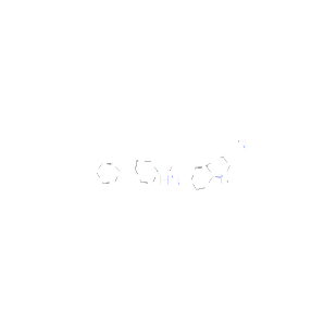 CN1CCc2nc3ccc(NC(=O)c4ccc(-c5ccc(Cl)cc5)cc4)cc3cc2C1